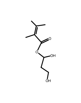 CC(C)=C(C)C(=O)OC(O)CCO